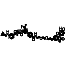 Cn1c(=O)n(C2CCC(=O)NC2=O)c2ccc(CCCOCCOCCNC(=O)c3ccc(-n4cc(NC(=O)c5coc(-c6ccnc(NCC7CC7)c6)n5)c(C(F)F)n4)cc3)cc21